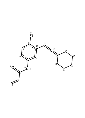 C=CC(=O)Nc1ccc(CC)c(C=C=C2CCCCC2)c1